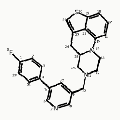 Fc1ccc(-c2cncc(CN3CCN4c5cccc6scc(c56)CC4C3)c2)cc1